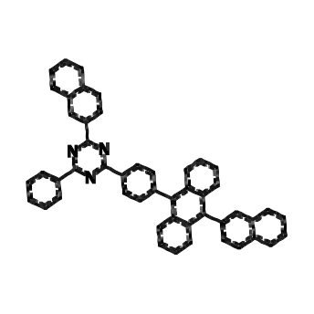 c1ccc(-c2nc(-c3ccc(-c4c5ccccc5c(-c5ccc6ccccc6c5)c5ccccc45)cc3)nc(-c3ccc4ccccc4c3)n2)cc1